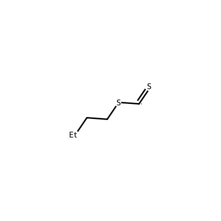 CCCCS[C]=S